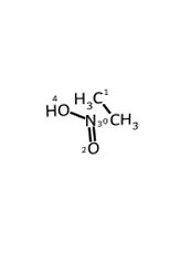 CC.O=NO